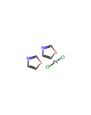 [Cl][Pt][Cl].c1cscn1.c1cscn1